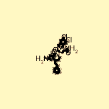 NC(=O)CC[C@H](C(=O)N1Cc2cc(Cl)c(Cl)cc2C1)N1CCC(CCc2ccccc2)N2C[C@H](N)C[C@H]2C1=O